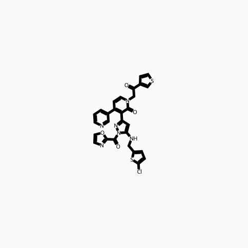 O=C(Cn1ccc(-c2cccnc2)c(-c2cc(NCc3ccc(Cl)s3)n(C(=O)c3ncco3)n2)c1=O)c1ccsc1